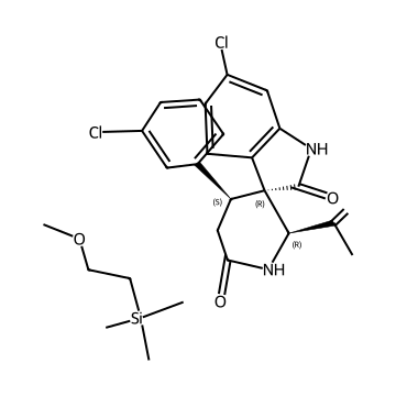 C=C(C)[C@H]1NC(=O)C[C@@H](c2cccc(Cl)c2)[C@]12C(=O)Nc1cc(Cl)ccc12.COCC[Si](C)(C)C